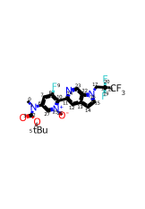 CN(C(=O)OC(C)(C)C)c1cc(F)c(-c2cc3ccn(CC(F)(F)C(F)(F)F)c3cn2)[n+]([O-])c1